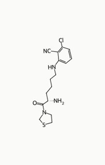 N#Cc1c(Cl)cccc1NCCCC[C@H](N)C(=O)N1CCSC1